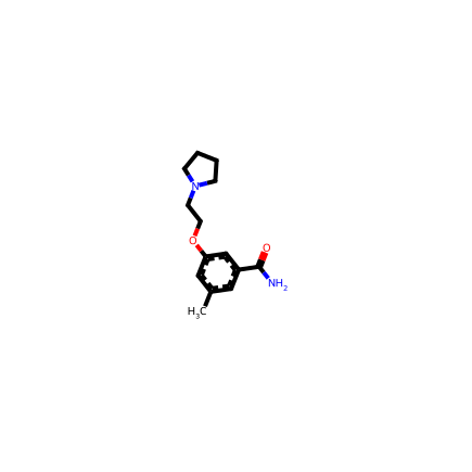 Cc1cc(OCCN2CCCC2)cc(C(N)=O)c1